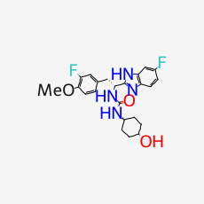 COc1ccc(C[C@@H](NC(=O)N[C@H]2CC[C@H](O)CC2)c2nc3ccc(F)cc3[nH]2)cc1F